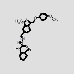 CC(C)c1ccccc1NC(=S)N/N=C/c1ccc2c(COc3ccc(OC(F)(F)F)cc3)nn(C)c2c1